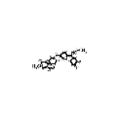 CCON=C(c1ccc(F)c(F)c1)c1ccc(CN2CCC3(CC2)OCc2cn(C)c(=O)cc23)cn1